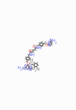 CC(c1ccccc1[N+](=O)[O-])n1cnc2nc(N)nc(OCc3ccc(CNC(=O)CCCC(=O)NCc4ccc(COc5nccc(N)n5)cc4)cc3)c21